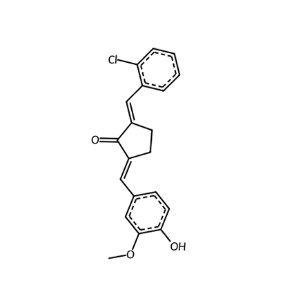 COc1cc(/C=C2\CC/C(=C\c3ccccc3Cl)C2=O)ccc1O